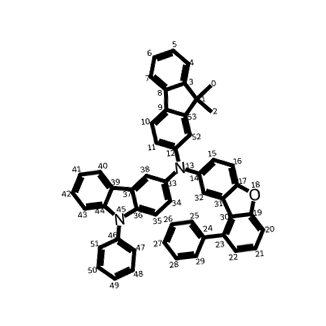 CC1(C)c2ccccc2-c2ccc(N(c3ccc4oc5cccc(-c6ccccc6)c5c4c3)c3ccc4c(c3)c3ccccc3n4-c3ccccc3)cc21